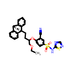 CCOCC(CCC12CCC(c3ccccc31)c1ccccc12)Oc1ccc(S(=O)(=O)Nc2ncns2)cc1C#N